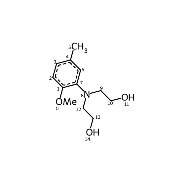 COc1ccc(C)cc1N(CCO)CCO